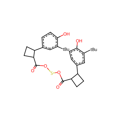 CC(C)(C)c1cc(C2CCC2C(=O)OSOC(=O)C2CCC2c2ccc(O)c(C(C)(C)C)c2)ccc1O